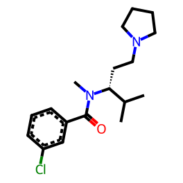 CC(C)[C@@H](CCN1CCCC1)N(C)C(=O)c1cccc(Cl)c1